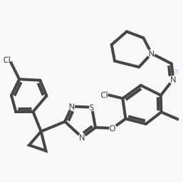 Cc1cc(Oc2nc(C3(c4ccc(Cl)cc4)CC3)ns2)c(Cl)cc1/N=C\N1CCCCC1